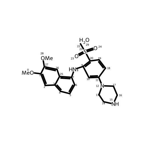 COc1cc2cccc(Nc3cc(N4CCNCC4)ccc3S(C)(=O)=O)c2cc1OC.O